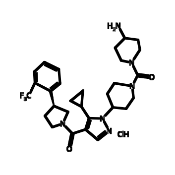 Cl.NC1CCN(C(=O)N2CCC(n3ncc(C(=O)N4CC[C@@H](c5ccccc5C(F)(F)F)C4)c3C3CC3)CC2)CC1